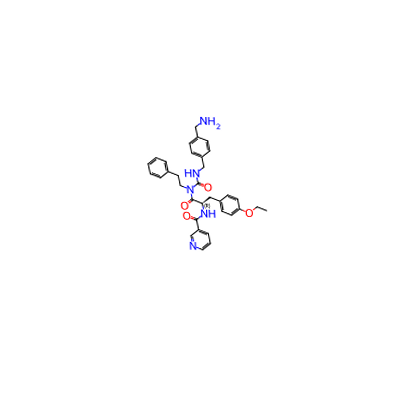 CCOc1ccc(C[C@@H](NC(=O)c2cccnc2)C(=O)N(CCc2ccccc2)C(=O)NCc2ccc(CN)cc2)cc1